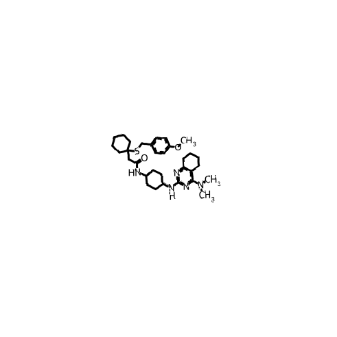 COc1ccc(CSC2(CC(=O)NC3CCC(Nc4nc5c(c(N(C)C)n4)CCCC5)CC3)CCCCC2)cc1